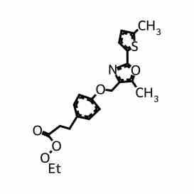 CCOOC(=O)CCc1ccc(OCc2nc(-c3ccc(C)s3)oc2C)cc1